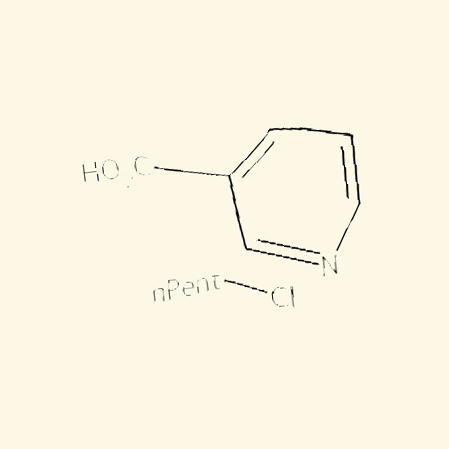 CCCCCCl.O=C(O)c1cccnc1